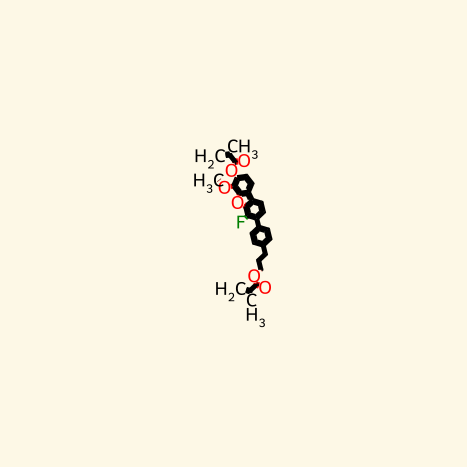 C=C(C)C(=O)OCCCc1ccc(-c2ccc3c(oc4c(OC)c(OC(=O)C(=C)C)ccc43)c2F)cc1